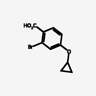 O=C(O)c1ccc(OC2CC2)cc1Br